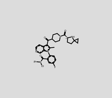 CCN(C(=O)c1cc(F)ccc1-n1c(C)c(C(=O)C2CCN(C(=O)[C@@H]3CCC4(CC4)N3)CC2)c2ccncc21)C(C)C